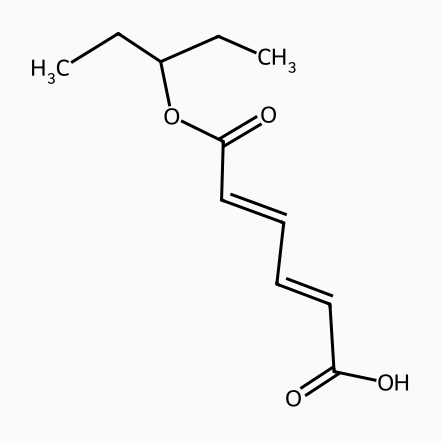 CCC(CC)OC(=O)C=CC=CC(=O)O